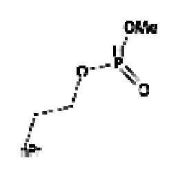 CCCCCO[PH](=O)OC